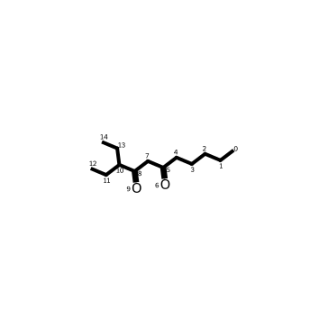 CCCCCC(=O)CC(=O)C(CC)CC